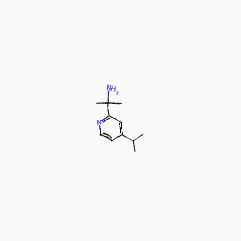 CC(C)c1ccnc(C(C)(C)N)c1